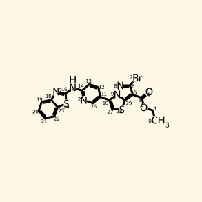 CCOC(=O)c1c(Br)nn2c(-c3ccc(Nc4nc5ccccc5s4)nc3)csc12